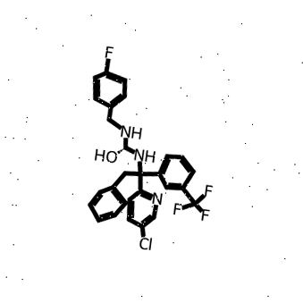 O[C@H](NCc1ccc(F)cc1)NC(Cc1ccccc1)(c1cccc(C(F)(F)F)c1)c1ccc(Cl)cn1